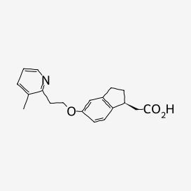 Cc1cccnc1CCOc1ccc2c(c1)CC[C@H]2CC(=O)O